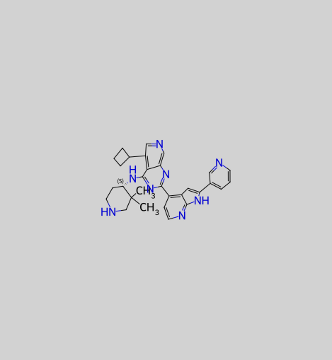 CC1(C)CNCC[C@@H]1Nc1nc(-c2ccnc3[nH]c(-c4cccnc4)cc23)nc2cncc(C3CCC3)c12